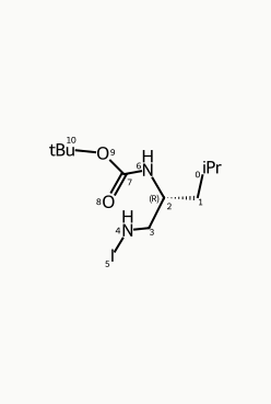 CC(C)C[C@H](CNI)NC(=O)OC(C)(C)C